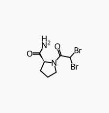 NC(=O)[C@@H]1CCCN1C(=O)C(Br)Br